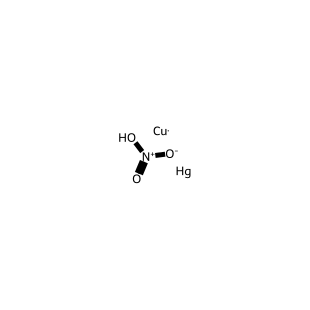 O=[N+]([O-])O.[Cu].[Hg]